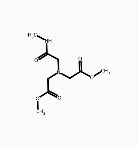 CNC(=O)CN(CC(=O)OC)CC(=O)OC